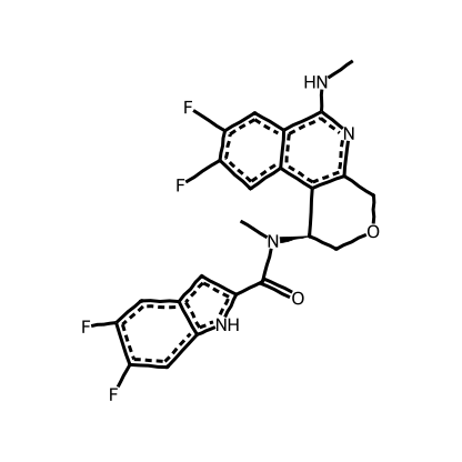 CNc1nc2c(c3cc(F)c(F)cc13)[C@H](N(C)C(=O)c1cc3cc(F)c(F)cc3[nH]1)COC2